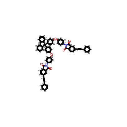 O=C1c2ccc(C#Cc3ccccc3)cc2C(=O)N1c1ccc(Oc2ccc(C3(c4ccc(Oc5ccc(N6C(=O)c7ccc(C#Cc8ccccc8)cc7C6=O)cc5)cc4)c4ccccc4-c4ccccc43)cc2)cc1